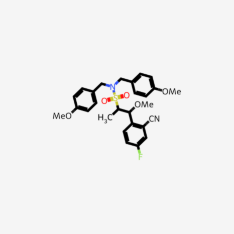 COc1ccc(CN(Cc2ccc(OC)cc2)S(=O)(=O)C(C)C(OC)c2ccc(F)cc2C#N)cc1